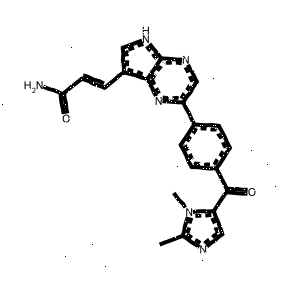 Cc1ncc(C(=O)c2ccc(-c3cnc4[nH]cc(/C=C/C(N)=O)c4n3)cc2)n1C